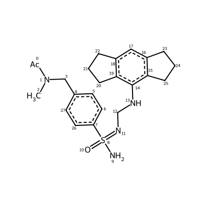 CC(=O)N(C)Cc1ccc(S(N)(=O)=NCNc2c3c(cc4c2CCC4)CCC3)cc1